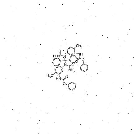 Cc1ccc(N(C(N)=O)C(c2ccccc2)(c2ccccc2)N(C(N)=O)c2ccc(C)c(NC(=O)Oc3ccccc3)c2)cc1NC(=O)Oc1ccccc1